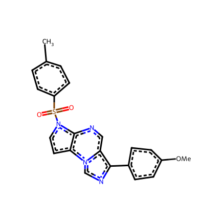 COc1ccc(-c2ncn3c2cnc2c3ccn2S(=O)(=O)c2ccc(C)cc2)cc1